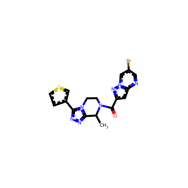 CC1c2nnc(-c3ccsc3)n2CCN1C(=O)c1cc2ncc(Br)cn2n1